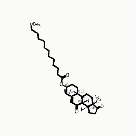 CCCCCCCCCCCCCCCCCCCCCC(=O)O[C@H]1CC[C@@]2(C)C(=CC(=O)[C@@H]3[C@@H]2CC[C@]2(C)C(=O)CC[C@@H]32)C1